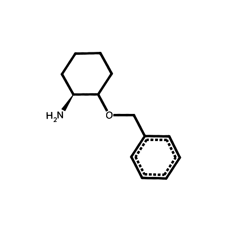 N[C@H]1CCCCC1OCc1ccccc1